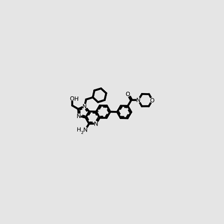 Nc1nc2cc(-c3cccc(C(=O)N4CCOCC4)c3)ccc2c2c1nc(CO)n2CC1CCCCC1